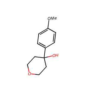 [CH2]Oc1ccc(C2(O)CCOCC2)cc1